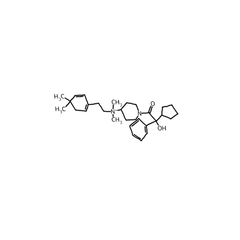 CC1(C)C=CC(CC[N+](C)(C)C2CCN(C(=O)C(O)(c3ccccc3)C3CCCC3)CC2)=CC1